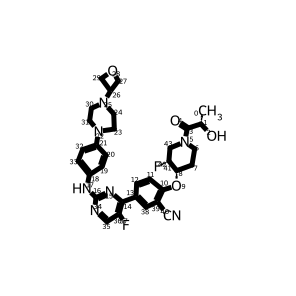 C[C@H](O)C(=O)N1CC[C@H](Oc2ccc(-c3nc(Nc4ccc(N5CCN(C6COC6)CC5)cc4)ncc3F)cc2C#N)[C@H](F)C1